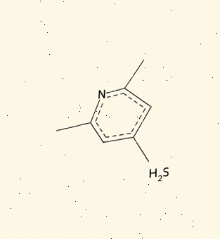 Cc1cc(C)nc(C)c1.S